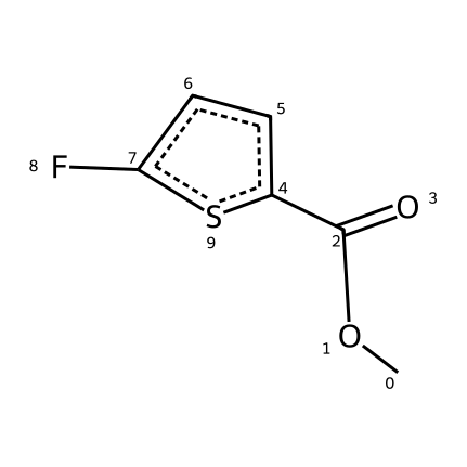 COC(=O)c1ccc(F)s1